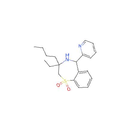 CCCCC1(CC)CS(=O)(=O)c2ccccc2C(c2ccccn2)N1